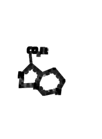 CCOC(=O)c1ncn2cnccc12